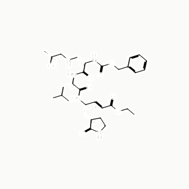 CCOC(=O)/C=C/[C@H](C[C@@H]1CCNC1=O)NC(=O)[C@H](CC(C)C)NC(=O)[C@H](CNC[C@H](C)O)NC(=O)OCc1ccccc1